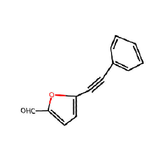 O=Cc1ccc(C#Cc2ccccc2)o1